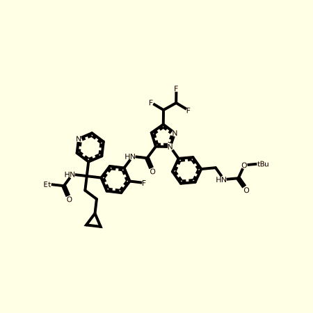 CCC(=O)NC(CCC1CC1)(c1cccnc1)c1ccc(F)c(NC(=O)c2cc(C(F)C(F)F)nn2-c2cccc(CNC(=O)OC(C)(C)C)c2)c1